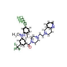 CNc1cc(C(=O)N2CCN(CCN3CCc4ncccc4C3)C[C@H]2Cc2ccc(Cl)cc2)cc(C(F)(F)F)c1.Cl.Cl.Cl